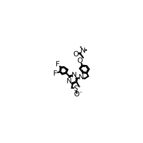 CN(C)C(=O)COc1ccc2c(c1)N(c1nc(-c3ccc(F)c(F)c3)nc3c1C[S+]([O-])C3)CC2